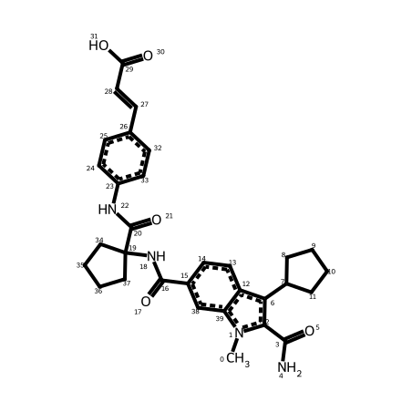 Cn1c(C(N)=O)c(C2CCCC2)c2ccc(C(=O)NC3(C(=O)Nc4ccc(/C=C/C(=O)O)cc4)CCCC3)cc21